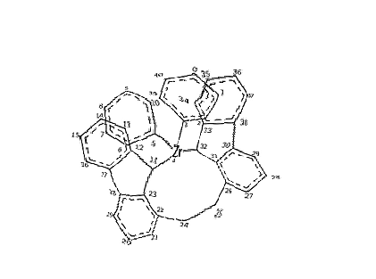 c1cc[c]([Zr]2([c]3ccccc3)[CH]3c4ccccc4-c4cccc(c43)CCc3cccc4c3[CH]2c2ccccc2-4)cc1